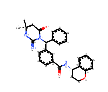 CC(C)[C@]1(C)CC(=O)N(C(c2ccccc2)c2cccc(C(=O)N[C@H]3CCOc4ccccc43)c2)C(=N)N1